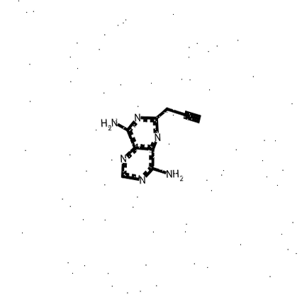 C#CCc1nc(N)c2ncnc(N)c2n1